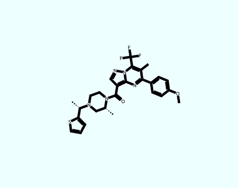 COc1ccc(-c2nc3c(C(=O)N4CCN([C@@H](C)c5cccs5)C[C@H]4C)cnn3c(C(F)(F)F)c2C)cc1